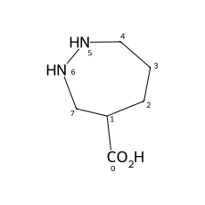 O=C(O)C1CCCNNC1